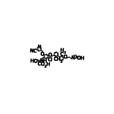 Cc1c(COc2cc(OCc3cncc(C#N)c3)c(CN[C@@H](CO)C(=O)O)cc2Cl)cccc1-c1cccc(OCCCN2CC[C@H](O)C2)c1C